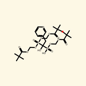 CC(C)(C)C(=O)OCOP(=O)(O)C(O)(Cc1cccnc1)P(=O)(OCOC(=O)C(C)(C)C)OCOC(=O)C(C)(C)C